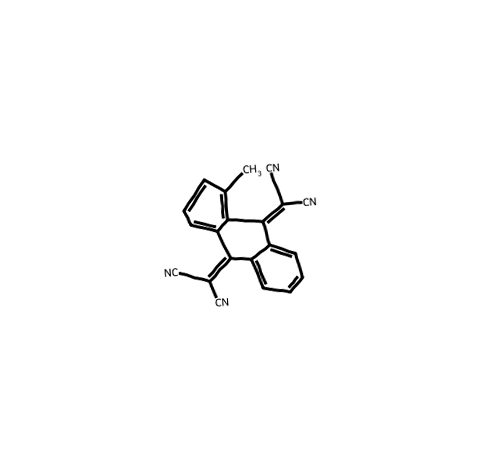 Cc1cccc2c(=C(C#N)C#N)c3ccccc3c(=C(C#N)C#N)c12